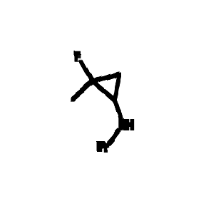 CC(C)NC1CC1(C)F